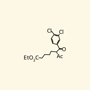 CCOC(=O)CCCCC(C(C)=O)C(=O)c1ccc(Cl)c(Cl)c1